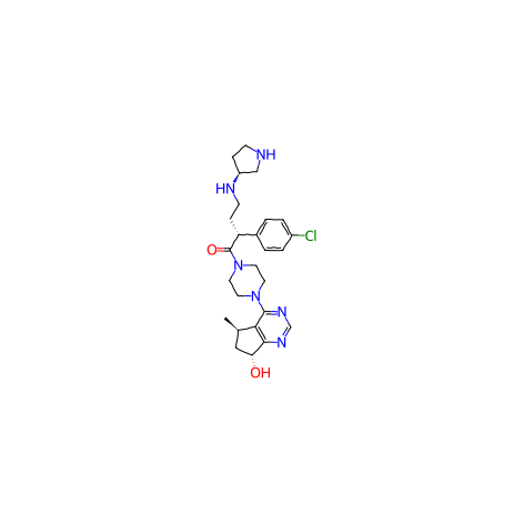 C[C@@H]1C[C@@H](O)c2ncnc(N3CCN(C(=O)[C@H](CCN[C@H]4CCNC4)c4ccc(Cl)cc4)CC3)c21